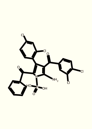 Nc1c(C(=O)c2ccc(Cl)c(Cl)c2)c(-c2ccc(Cl)cc2Cl)c(C(=O)c2ccccc2)n1P(=O)(O)O